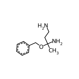 CC(N)(CCN)OCc1ccccc1